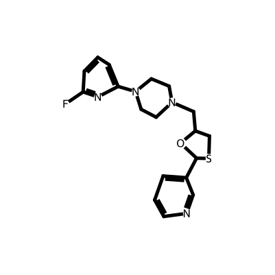 Fc1cccc(N2CCN(CC3CSC(c4cccnc4)O3)CC2)n1